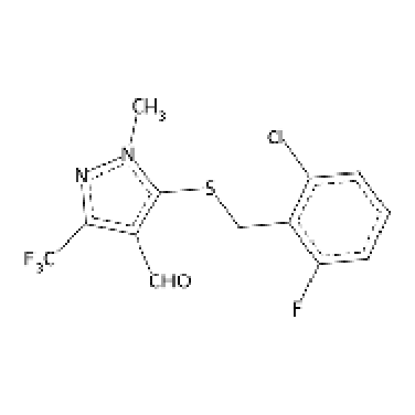 Cn1nc(C(F)(F)F)c(C=O)c1SCc1c(F)cccc1Cl